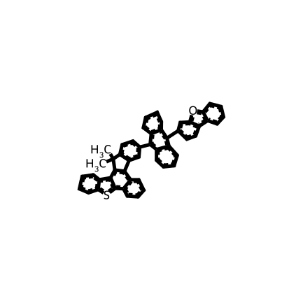 CC1(C)c2ccc(-c3c4ccccc4c(-c4ccc5c(c4)oc4ccccc45)c4ccccc34)cc2-c2c1c1c3ccccc3sc1c1ccccc21